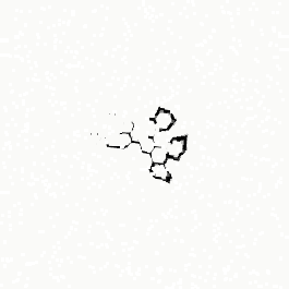 C=C(C1C(CCC(/C=C\C)C(C)CC)c2ccccc2-c2cccc[n+]21)[n+]1ccccc1C